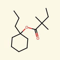 CCCC1(OC(=O)C(C)(C)CC)CCCCC1